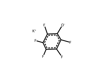 [K+].[O-]c1c(F)c(F)c(F)c(F)c1F